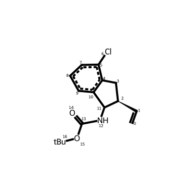 C=C[C@@H]1Cc2c(Cl)cccc2C1NC(=O)OC(C)(C)C